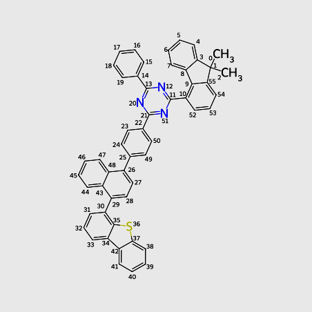 CC1(C)c2ccccc2-c2c(-c3nc(-c4ccccc4)nc(-c4ccc(-c5ccc(-c6cccc7c6sc6ccccc67)c6ccccc56)cc4)n3)cccc21